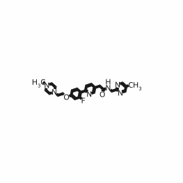 Cc1cnc(CNC(=O)Cc2ccc(-c3ccc(OCCN4CCN(C)CC4)cc3F)nc2)nc1